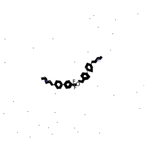 C/C=C/CC[C@H]1CC[C@H](c2ccc(CCOC(F)(F)c3ccc([C@H]4CC[C@H](CC/C=C/C)CC4)cc3)cc2)CC1